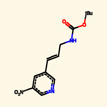 CC(C)(C)OC(=O)NC/C=C/c1cncc([N+](=O)[O-])c1